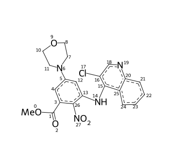 COC(=O)c1cc(N2CCOCC2)cc(Nc2c(Cl)cnc3ccccc23)c1[N+](=O)[O-]